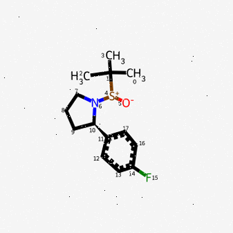 CC(C)(C)[S+]([O-])N1CCC[C@@H]1c1ccc(F)cc1